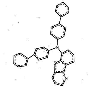 c1ccc(-c2ccc(N(c3ccc(-c4ccccc4)cc3)c3cccc4c3sc3cccnc34)cc2)cc1